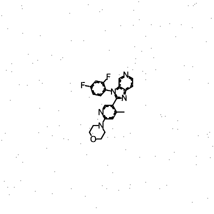 Cc1cc(N2CCOCC2)ncc1-c1nc2ccncc2n1-c1ccc(F)cc1F